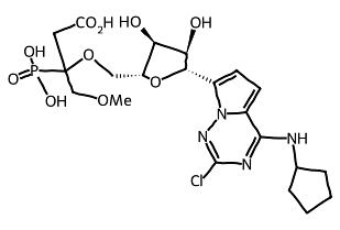 COCC(CC(=O)O)(OC[C@H]1O[C@@H](c2ccc3c(NC4CCCC4)nc(Cl)nn23)[C@H](O)[C@@H]1O)P(=O)(O)O